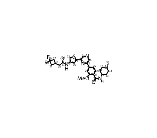 COc1cc(-c2cncc(-c3cc(NC(=O)CC4CC(F)(F)C4)cs3)n2)ccc1C(=O)N(C)C1CCN(C)CC1